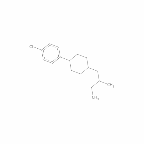 CCC(C)CC1CCC(c2ccc(Cl)cc2)CC1